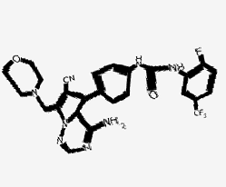 N#CC1=C(CN2CCOCC2)N2N=CN=C(N)C2C1c1ccc(NC(=O)Nc2cc(C(F)(F)F)ccc2F)cc1